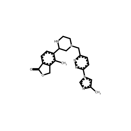 Cc1cn(-c2ccc(CN3CCNC(c4ccc5c(c4C)COC5=O)C3)nn2)cn1